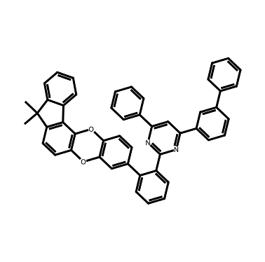 CC1(C)c2ccccc2-c2c1ccc1c2Oc2ccc(-c3ccccc3-c3nc(-c4ccccc4)cc(-c4cccc(-c5ccccc5)c4)n3)cc2O1